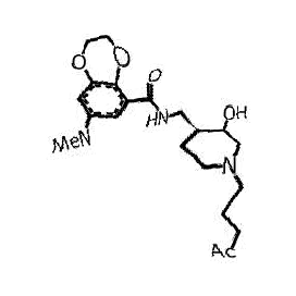 CNc1cc2c(c(C(=O)NC[C@@H]3CCN(CCCC(C)=O)CC3O)c1)OCCO2